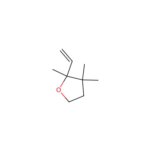 C=CC1(C)OCCC1(C)C